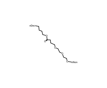 CCCCCCCCCCCCCCOC(=O)CCCOCCOCCOCCCCCCCCC